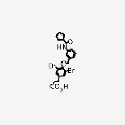 O=C(O)CCc1cc(Br)c(OCc2cccc(NC(=O)C3CCCC3)c2)c(Br)c1